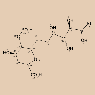 CCC(O)[C@H](O)[C@H](O)C(O)CO[C@@H]1OC(C(=O)O)C[C@@H](O)C1OS(=O)(=O)O